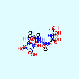 O=C(O)CC[C@H](NC(=O)N[C@@H](CCC(=O)N[C@@H](Cc1ccccc1)C(=O)NCCNC(=O)CNC(=O)[C@H](Cc1ccccc1)NC(=O)[C@H](Cc1ccccc1)NC(=O)CN1CCN(CC(=O)O)CCN(CC(=O)O)CCN(C(=O)O)CC1)C(=O)O)C(=O)O